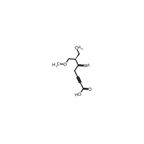 CC[C@H](COC)C(=N)CC#CC(=O)O